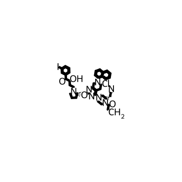 C=CC(=O)N1CCN(c2nc(OC[C@@H]3CCCN3CCC(O)C(=O)c3cccc(I)c3)nc3c2CCN(c2cccc4cccc(Cl)c24)C3)C[C@@H]1CC#N